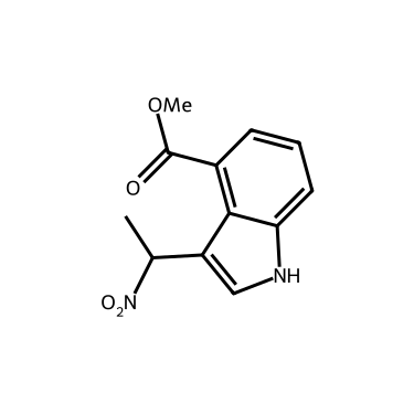 COC(=O)c1cccc2[nH]cc(C(C)[N+](=O)[O-])c12